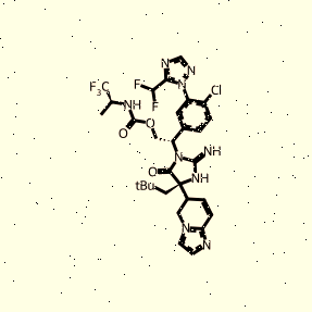 C[C@H](NC(=O)OC[C@H](c1ccc(Cl)c(-n2ncnc2C(F)F)c1)N1C(=N)N[C@](CC(C)(C)C)(C2C=Cc3nccn3C2)C1=O)C(F)(F)F